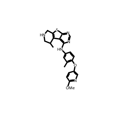 COc1ccc(Oc2ccc(Nc3ncnc4sc5c(c34)C(C)CNC5)cc2C)cn1